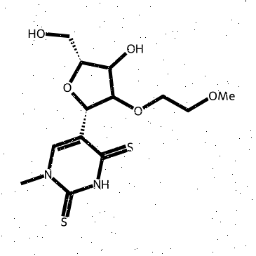 COCCOC1C(O)[C@@H](CO)O[C@H]1c1cn(C)c(=S)[nH]c1=S